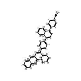 N#Cc1ccc(-c2ccc(-c3ccc(-c4cc5cc6ccccc6nc5c5ncccc45)cc3)c3ccccc23)cc1